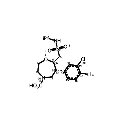 CC(C)NS(=O)(=O)C[C@H]1OCCN(C(=O)O)C[C@H]1c1ccc(Cl)c(Cl)c1